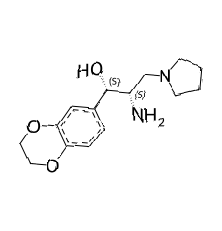 N[C@@H](CN1CCCC1)[C@@H](O)c1ccc2c(c1)OCCO2